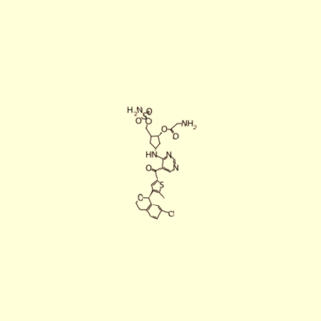 Cc1sc(C(=O)c2cncnc2N[C@@H]2CC(COS(N)(=O)=O)[C@@H](OC(=O)CN)C2)cc1[C@@H]1OCCc2ccc(Cl)cc21